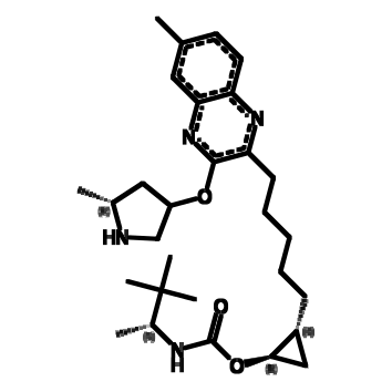 Cc1ccc2nc(CCCCC[C@@H]3C[C@H]3OC(=O)N[C@H](C)C(C)(C)C)c(OC3CN[C@H](C)C3)nc2c1